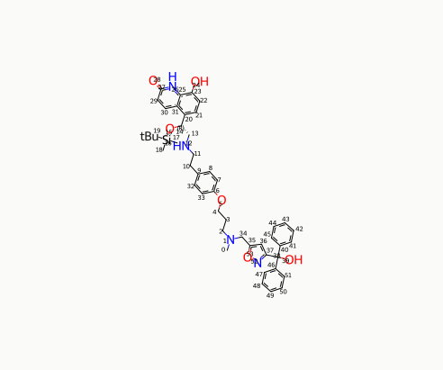 CN(CCCOc1ccc(CCNC[C@H](O[Si](C)(C)C(C)(C)C)c2ccc(O)c3[nH]c(=O)ccc23)cc1)Cc1cc(C(O)(c2ccccc2)c2ccccc2)no1